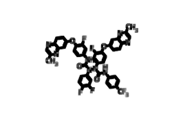 Cc1cnc2ccc(Oc3ccc(NC(=O)N(c4ccc(F)c(F)c4)N(C(=O)Nc4ccc(C(F)(F)F)cc4)c4ccc(Oc5ccc6ncc(C)nc6c5)c(F)c4)cc3F)cc2n1